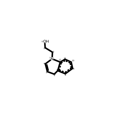 OCCN1C=C[C]c2ccccc21